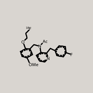 COc1ccc(OCC[18F])c(CN(C(C)=O)c2cccnc2Cc2ccc(F)cc2)c1